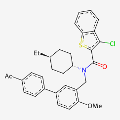 CC[C@H]1CC[C@H](N(Cc2cc(-c3ccc(C(C)=O)cc3)ccc2OC)C(=O)c2sc3ccccc3c2Cl)CC1